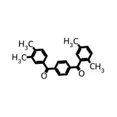 Cc1ccc(C)c(C(=O)c2ccc(C(=O)c3ccc(C)c(C)c3)cc2)c1